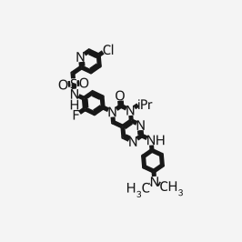 CC(C)N1C(=O)N(c2ccc(NS(=O)(=O)Cc3ccc(Cl)cn3)c(F)c2)Cc2cnc(NC3CCC(N(C)C)CC3)nc21